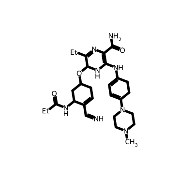 CCC(=O)NC1CC(OC2NC(NC3=CC=C(N4CCN(C)CC4)CC3)=C(C(N)=O)N=C2CC)CC=C1C=N